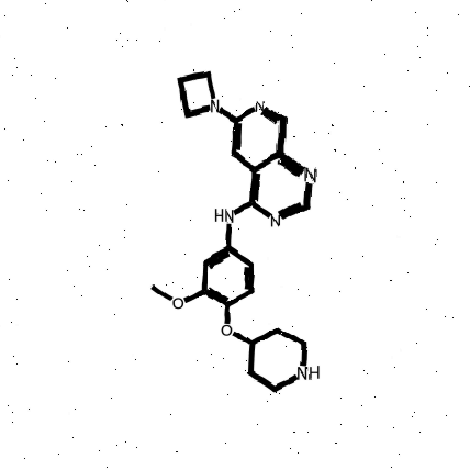 COc1cc(Nc2ncnc3cnc(N4CCC4)cc23)ccc1OC1CCNCC1